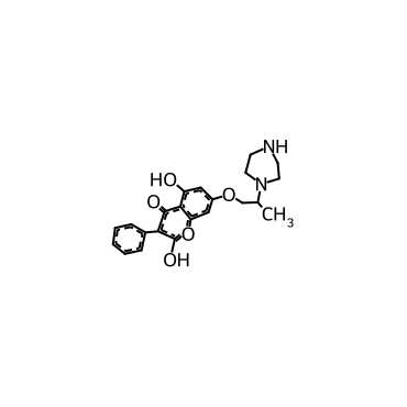 CC(COc1cc(O)c2c(=O)c(-c3ccccc3)c(O)oc2c1)N1CCNCC1